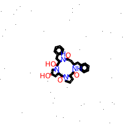 O=C1CC(Cc2ccccc2)NC(=O)C2CCCN2C(=O)C2CC(O)CN2C(O)C(Cc2ccccc2)N1